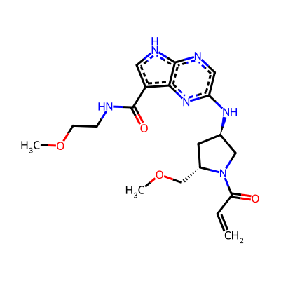 C=CC(=O)N1C[C@H](Nc2cnc3[nH]cc(C(=O)NCCOC)c3n2)C[C@H]1COC